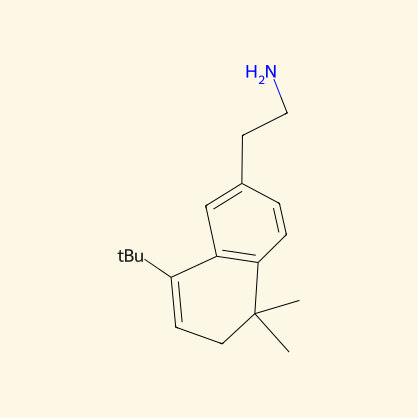 CC(C)(C)C1=CCC(C)(C)c2ccc(CCN)cc21